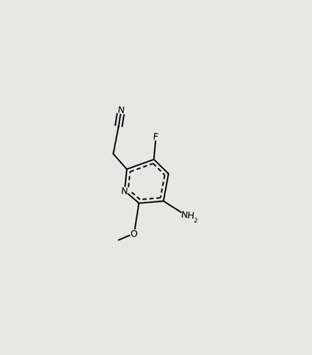 COc1nc(CC#N)c(F)cc1N